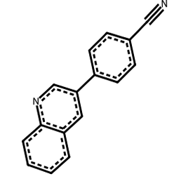 N#Cc1ccc(-c2cnc3ccccc3c2)cc1